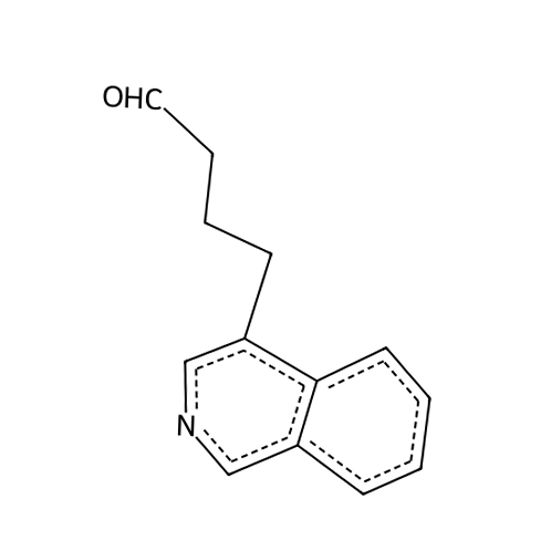 O=CCCCc1cncc2ccccc12